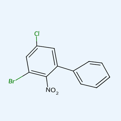 O=[N+]([O-])c1c(Br)cc(Cl)cc1-c1ccccc1